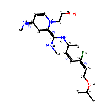 C/N=C1/C=CN(CCO)/C(=C(/NC)NC(C)/C=C\C(F)=C/COC(C)C)C1